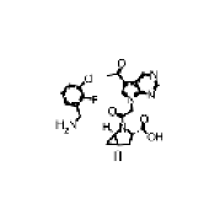 CC(=O)c1cn(CC(=O)N2[C@@H]3C[C@@H]3C[C@H]2C(=O)O)c2ncncc12.NCc1cccc(Cl)c1F